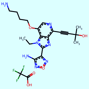 CCn1c(-c2nonc2N)nc2c(C#CC(C)(C)O)ncc(OCCCCN)c21.O=C(O)C(F)(F)F